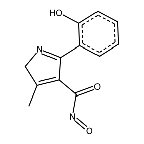 CC1=C(C(=O)N=O)C(c2ccccc2O)=NC1